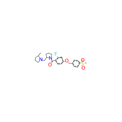 CC1CCCN1CC1CCCN1C(=O)c1ccc(OCc2ccc(S(C)(=O)=O)cc2)cc1F